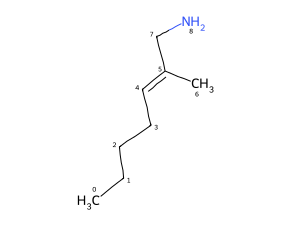 CCCC/C=C(\C)CN